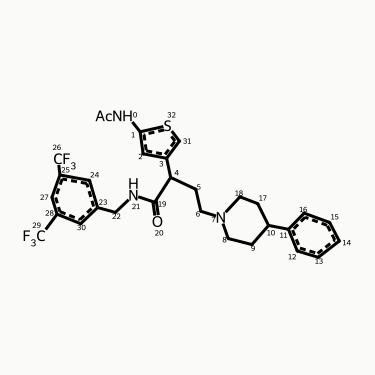 CC(=O)Nc1cc(C(CCN2CCC(c3ccccc3)CC2)C(=O)NCc2cc(C(F)(F)F)cc(C(F)(F)F)c2)cs1